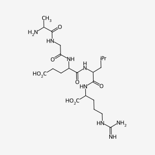 CC(C)CC(NC(=O)C(CCC(=O)O)NC(=O)CNC(=O)C(C)N)C(=O)NC(CCCNC(=N)N)C(=O)O